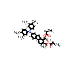 C=CC(=O)OC(C)c1ccc2c(c1C(C)OC(=O)C=C)Cc1cc(N(c3ccc(C)c(C)c3)c3ccc(C)c(C)c3)ccc1-2